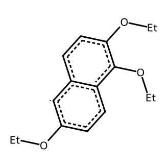 CCOc1[c]c2ccc(OCC)c(OCC)c2cc1